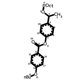 CCCCCCCCOC(C)c1ccc(OC(=O)c2ccc(OCCCC)cc2)cc1